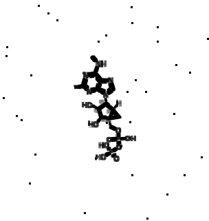 CNc1nc(C)nc2c1ncn2[C@H]1[C@H](O)[C@H](O)[C@]2(COP(=O)(O)OP(=O)(O)O)C[C@H]12